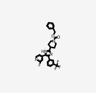 O=C(OCc1ccccc1)N1CCC(c2nc(-c3cccc(C(F)(F)F)c3)c(-c3ccnc(F)c3)[nH]2)CC1